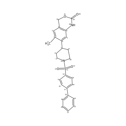 Cc1cc2c(cc1C1CCN(S(=O)(=O)c3ccc(-c4ccccc4)cc3)CC1)NC(=O)OC2